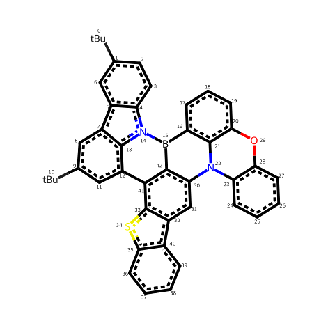 CC(C)(C)c1ccc2c(c1)c1cc(C(C)(C)C)cc3c1n2B1c2cccc4c2N(c2ccccc2O4)c2cc4c(sc5ccccc54)c-3c21